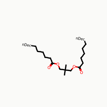 CCCCCCCCCCCCCCCC(=O)OCC(C)(C)COC(=O)CCCCCCCCCCCCCCC